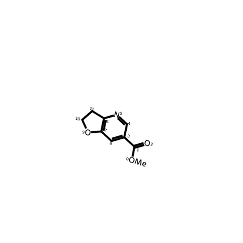 COC(=O)c1cnc2c(c1)OCC2